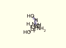 C=NC(=C\C=C(/N)Nc1sc(-c2c(F)cc(C(C)(C)O)cc2F)cc1C(N)=O)/C=C/C(C)(C)O